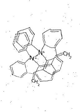 C=Cc1cccc2c1[N+](c1ccccc1)([N+]1(c3ccccc3)c3ccccc3-c3cccc(C=C)c31)c1ccccc1-2